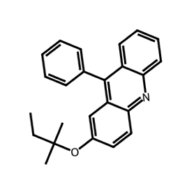 CCC(C)(C)Oc1ccc2nc3ccccc3c(-c3ccccc3)c2c1